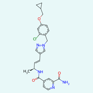 C[C@@H](/C=C/c1cnn(Cc2ccc(OCC3CC3)cc2Cl)c1)NC(=O)c1ccnc(C(N)=O)c1